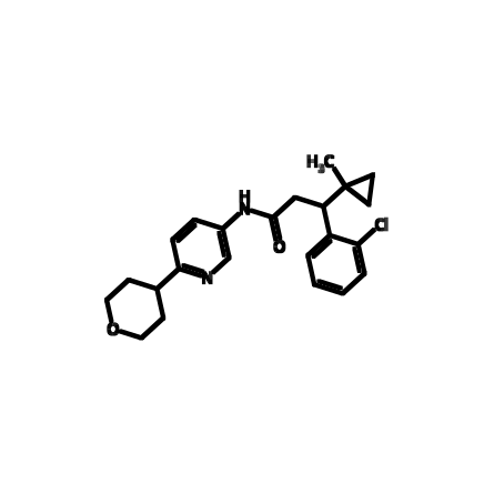 CC1(C(CC(=O)Nc2ccc(C3CCOCC3)nc2)c2ccccc2Cl)CC1